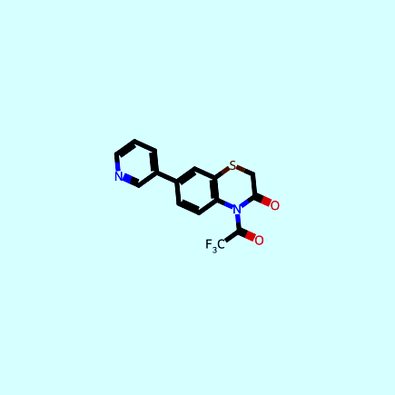 O=C1CSc2cc(-c3cccnc3)ccc2N1C(=O)C(F)(F)F